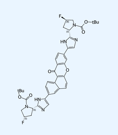 CC(C)(C)OC(=O)N1C[C@H](F)C[C@H]1c1ncc(-c2ccc3c(=O)c4c(ccc5cc(-c6cnc([C@@H]7C[C@H](F)CN7C(=O)OC(C)(C)C)[nH]6)ccc54)oc3c2)[nH]1